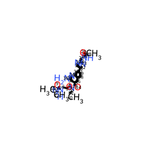 CCCN(OCCNC(=O)N(C)C)C(=O)C1=Cc2ccc(-c3cnc(CNC(C)=O)nc3)cc2N=C(N)C1